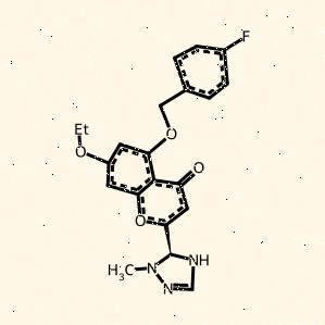 CCOc1cc(OCc2ccc(F)cc2)c2c(=O)cc([C@H]3NC=NN3C)oc2c1